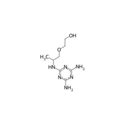 CC(COCCO)Nc1nc(N)nc(N)n1